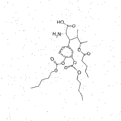 CCCCCOC(=O)Oc1ccc(C(C(C)C(C)OC(=O)CCCC)[C@H](N)C(=O)O)cc1OC(=O)OCCCCC